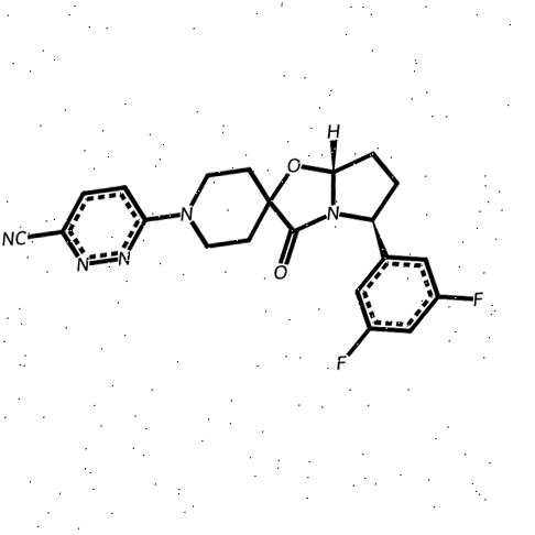 N#Cc1ccc(N2CCC3(CC2)O[C@@H]2CC[C@@H](c4cc(F)cc(F)c4)N2C3=O)nn1